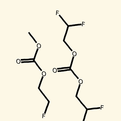 COC(=O)OCCF.O=C(OCC(F)F)OCC(F)F